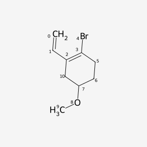 C=CC1=C(Br)CCC(OC)C1